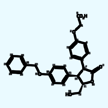 O=C(O)COc1ccc(N2C(=O)O[C@H](CO)[C@H]2c2ccc(OCc3ccccc3)cc2)cc1